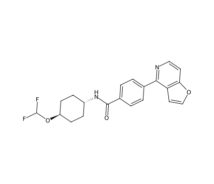 O=C(N[C@H]1CC[C@H](OC(F)F)CC1)c1ccc(-c2nccc3occc23)cc1